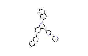 c1ccc(-c2ccc(-c3cc(-c4ccc5ccccc5c4)nc4ccc(-c5ccc6ccccc6c5)cc34)cn2)nc1